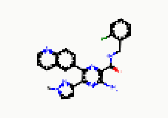 Cn1ccc(-c2nc(N)c(C(=O)NCc3ccccc3F)nc2-c2ccc3ncccc3c2)n1